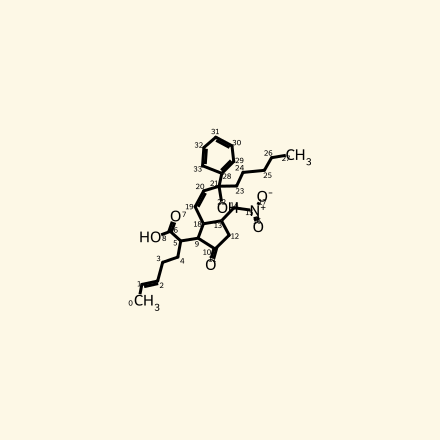 C/C=C/CCC(C(=O)O)C1C(=O)CC(C[N+](=O)[O-])C1/C=C\C(O)(CCCCC)c1ccccc1